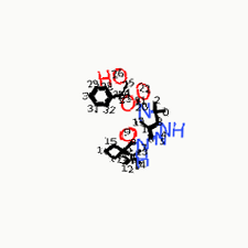 CC1(C)c2[nH]nc(NC(=O)C3([Si](C)(C)C)CCC3)c2CN1C(=O)O[C@H](CO)c1ccccc1